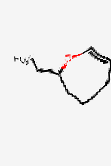 O=C(O)CC1CCCC=CO1